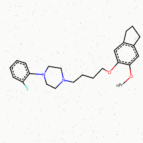 CCCOc1cc2c(cc1OCCCCN1CCN(c3ccccc3F)CC1)CCC2